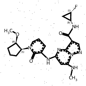 CNc1cc(Nc2cccn([C@H]3CCC[C@H]3OC)c2=O)nc2c(C(=O)N[C@@H]3C[C@@H]3F)cnn12